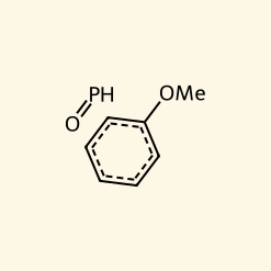 COc1ccccc1.O=P